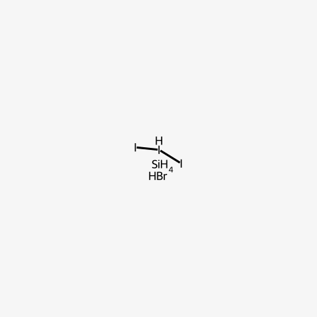 Br.I[IH]I.[SiH4]